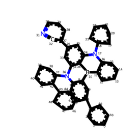 c1ccc(-c2ccc3c(c2)B2c4ccccc4N(c4ccccc4)c4cc(-c5cccnc5)cc(c42)N3c2ccccc2-c2ccccc2)cc1